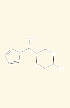 CC(C1CCC(Cl)OC1)n1cccn1